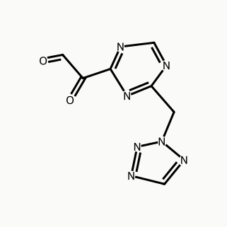 O=CC(=O)c1ncnc(Cn2ncnn2)n1